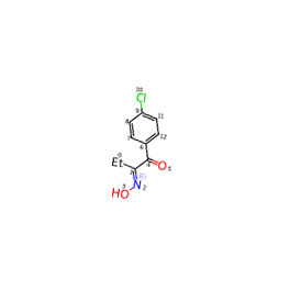 CC/C(=N\O)C(=O)c1ccc(Cl)cc1